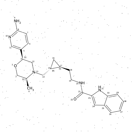 C[C@H]1CO[C@@H](c2ccc(N)nc2)CN1C[C@@H]1C[C@H]1CCNC(=O)c1cc2ccccc2[nH]1